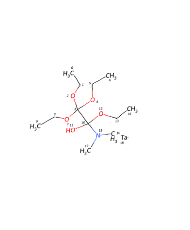 CCOC(OCC)(OCC)C(O)(OCC)N(C)C.[Ta]